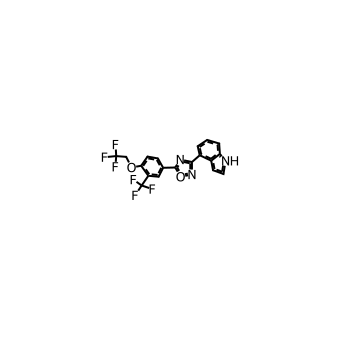 FC(F)(F)COc1ccc(-c2nc(-c3cccc4[nH]ccc34)no2)cc1C(F)(F)F